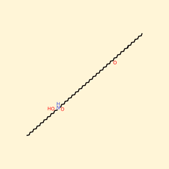 CCCCCCCCC=CCCCCCCCC(=O)CCCCCCCCCCCCCCCCCCCCCCCCCCCCCC(=O)NCC(O)CCCCCCCCCCCCCCCC